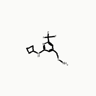 NSCc1cc(NC2CCC2)nc(C(F)(F)F)c1